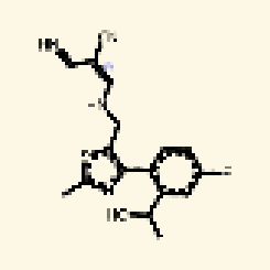 Cc1nc(-c2ccc(F)cc2C(C)O)c(CN/C=C(/C#N)C=N)s1